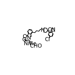 CNC(=O)C(CCC=O)N1Cc2c(CCCCN3CCC(C#N)(c4cc(Cl)ccc4Cl)CC3)cccc2C1=O